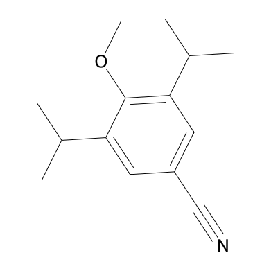 COc1c(C(C)C)cc(C#N)cc1C(C)C